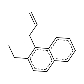 C=CCc1c(CC)ccc2ccccc12